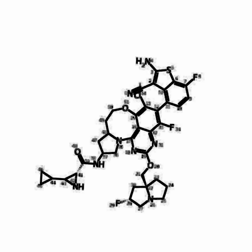 N#Cc1c(N)sc2c(F)ccc(-c3c(Cl)c4c5c(nc(OC[C@@]67CCCN6C[C@H](F)C7)nc5c3F)N3CC(NC(=O)[C@@H]5NC5C5CC5)CC3CCO4)c12